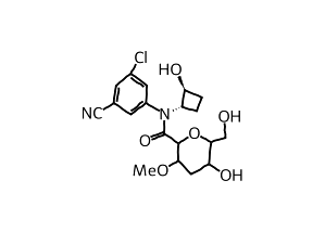 COC1CC(O)C(CO)OC1C(=O)N(c1cc(Cl)cc(C#N)c1)[C@H]1CC[C@@H]1O